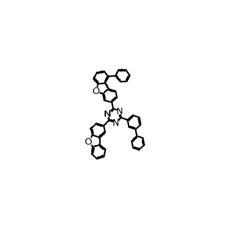 c1ccc(-c2cccc(-c3nc(-c4ccc5c(c4)oc4cccc(-c6ccccc6)c45)nc(-c4ccc5oc6ccccc6c5c4)n3)c2)cc1